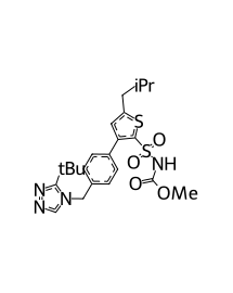 COC(=O)NS(=O)(=O)c1sc(CC(C)C)cc1-c1ccc(Cn2cnnc2C(C)(C)C)cc1